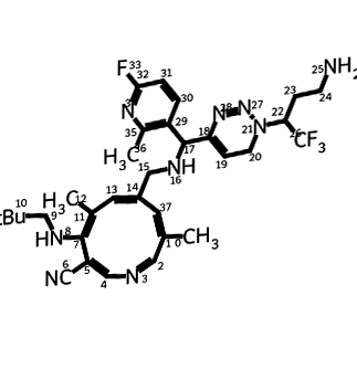 Cc1cncc(C#N)c(NCC(C)(C)C)c(C)cc(CNC(C2=CCN(C(CCN)C(F)(F)F)N=N2)c2ccc(F)nc2C)c1